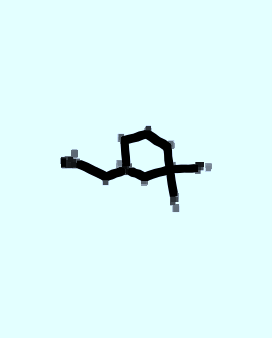 CC(C)(C)CN1CCCC(F)(F)C1